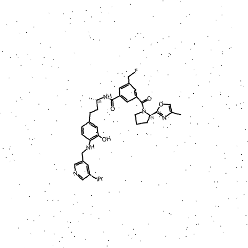 Cc1coc([C@H]2CCCN2C(=O)c2cc(CF)cc(C(=O)N[C@@H](C)CCc3ccc(NCc4cncc(C(C)C)c4)c(O)c3)c2)n1